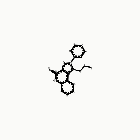 CCCc1c2c(nn1-c1ccccc1)c(=O)[nH]c1ccccc12